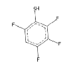 Fc1cc(F)c(S)c(F)c1F